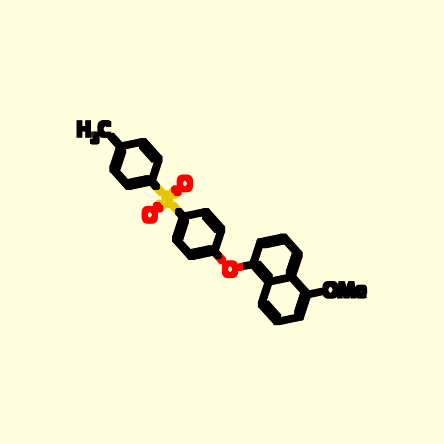 COc1cccc2c(Oc3ccc(S(=O)(=O)c4ccc(C)cc4)cc3)cccc12